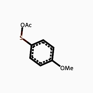 COc1ccc(SOC(C)=O)cc1